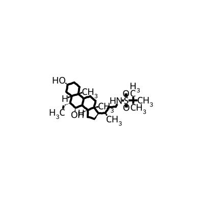 CC[C@H]1[C@@H](O)C2C(CC[C@]3(C)[C@@H]([C@H](C)CCNS(=O)(=O)C(C)(C)C)CC[C@@H]23)[C@@]2(C)CC[C@@H](O)C[C@@H]12